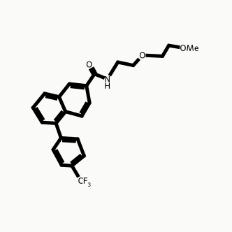 COCCOCCNC(=O)c1ccc2c(-c3ccc(C(F)(F)F)cc3)cccc2c1